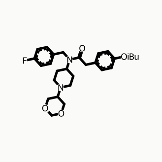 CC(C)COc1ccc(CC(=O)N(Cc2ccc(F)cc2)C2CCN(C3COCOC3)CC2)cc1